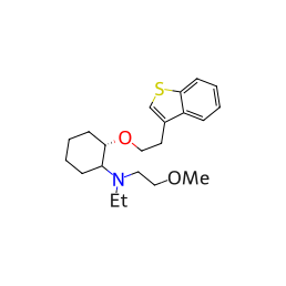 CCN(CCOC)C1CCCC[C@@H]1OCCc1csc2ccccc12